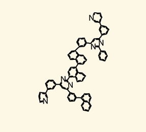 c1ccc(-c2nc(-c3cccc(-c4cccnc4)c3)cc(-c3cccc(-c4cccc5c(-c6ccc(-c7nc(-c8cccc(-c9cccnc9)c8)cc(-c8cccc(-c9cccc%10ccccc9%10)c8)n7)c7ccccc67)cccc45)c3)n2)cc1